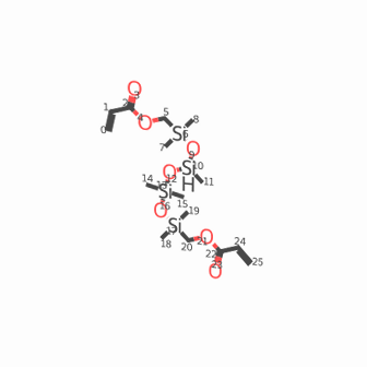 C=CC(=O)OC[Si](C)(C)O[SiH](C)O[Si](C)(C)O[Si](C)(C)COC(=O)C=C